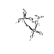 O=P([O-])([O-])CP(=O)([O-])[O-].[Zr+4]